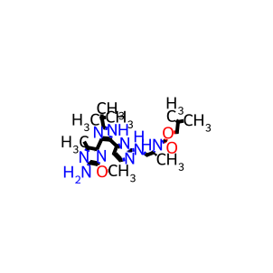 COc1nc(-c2nc(C(C)(C)C)[nH]c2-c2ccnc(NC[C@H](C)NC(=O)OCC(C)C)n2)c(C)nc1N